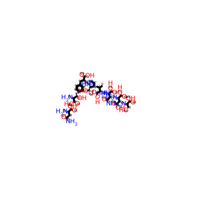 CC(C)[C@H](N)C(=O)O.C[C@@H](O)[C@H](N)C(=O)O.NC(=O)C[C@H](N)C(=O)O.NC(=O)C[C@H](N)C(=O)O.N[C@@H](CC(=O)O)C(=O)O.N[C@@H](CO)C(=O)O.N[C@@H](Cc1ccccc1)C(=O)O.O=C(O)[C@@H]1CCCN1